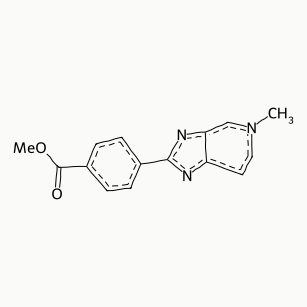 COC(=O)c1ccc(-c2nc3ccn(C)cc-3n2)cc1